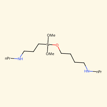 CCCNCCCCO[Si](CCCNCCC)(OC)OC